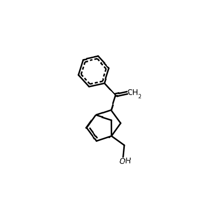 C=C(c1ccccc1)C1CC2(CO)C=CC1C2